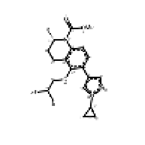 COC(=O)N1c2ccc(-c3cnn(C4CC4)c3)c(OCC(F)F)c2CC[C@@H]1C